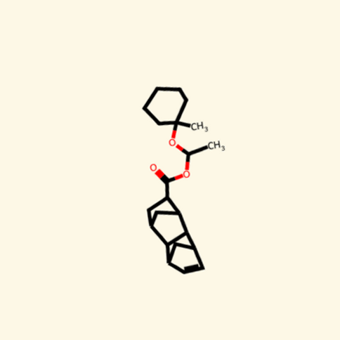 CC(OC(=O)C1CC2CC1C1C3C=CC(C3)C21)OC1(C)CCCCC1